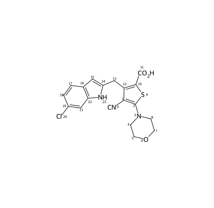 [C-]#[N+]c1c(N2CCOCC2)sc(C(=O)O)c1Cc1cc2ccc(Cl)cc2[nH]1